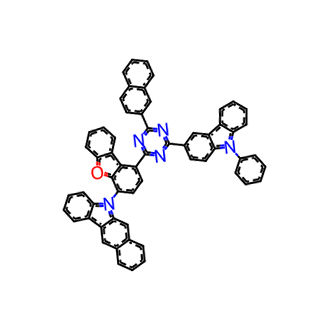 c1ccc(-n2c3ccccc3c3cc(-c4nc(-c5ccc6ccccc6c5)nc(-c5ccc(-n6c7ccccc7c7cc8ccccc8cc76)c6oc7ccccc7c56)n4)ccc32)cc1